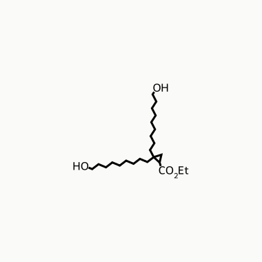 CCOC(=O)C1CC1(CCCCCCCCCO)CCCCCCCCCO